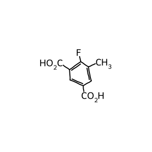 Cc1cc(C(=O)O)cc(C(=O)O)c1F